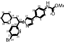 COC(=O)Nc1ccc(-c2cnn(C(C[C@@H]3CCCCO3)c3ccc(Br)cn3)c2)cc1